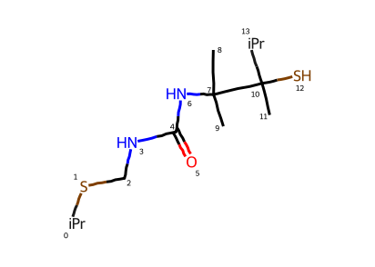 CC(C)SCNC(=O)NC(C)(C)C(C)(S)C(C)C